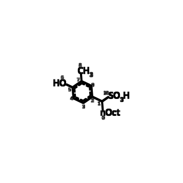 CCCCCCCCC(c1ccc(O)c(C)c1)S(=O)(=O)O